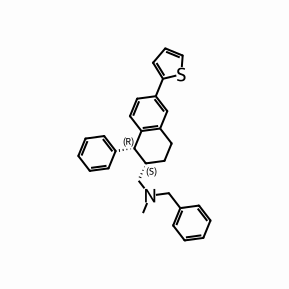 CN(Cc1ccccc1)C[C@H]1CCc2cc(-c3cccs3)ccc2[C@H]1c1ccccc1